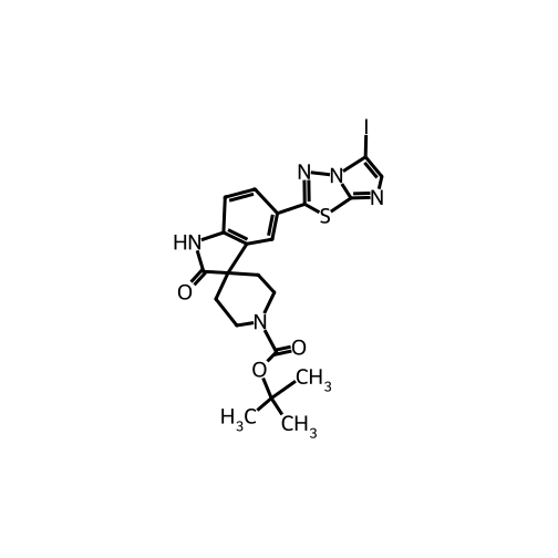 CC(C)(C)OC(=O)N1CCC2(CC1)C(=O)Nc1ccc(-c3nn4c(I)cnc4s3)cc12